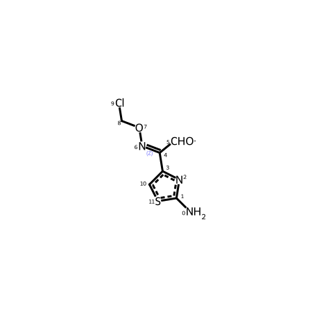 Nc1nc(/C([C]=O)=N/OCCl)cs1